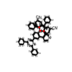 N#Cc1ccc2c(c1)c1cc(C#N)ccc1n2-c1ccc(-c2nc(-c3ccccc3)nc(-c3ccccc3)n2)cc1-c1ccncc1-c1nc(-c2ccccc2)nc(-c2ccccc2)n1